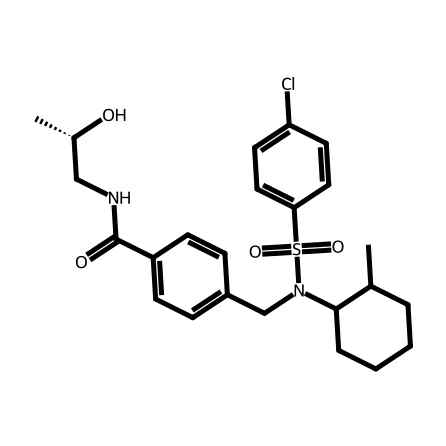 CC1CCCCC1N(Cc1ccc(C(=O)NC[C@H](C)O)cc1)S(=O)(=O)c1ccc(Cl)cc1